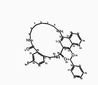 O=C1NCCCCCCNc2nc(c(OCc3ccccc3)c3ncccc23)C(=O)NCc2ccc(F)cc21